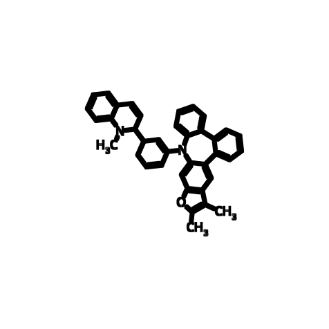 Cc1oc2cc3c(cc2c1C)-c1ccccc1-c1ccccc1N3C1=CC(C2C=Cc3ccccc3N2C)CC=C1